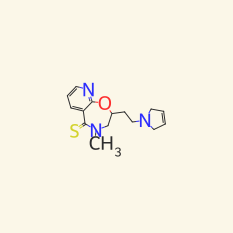 CN1CC(CCN2CC=CC2)Oc2ncccc2C1=S